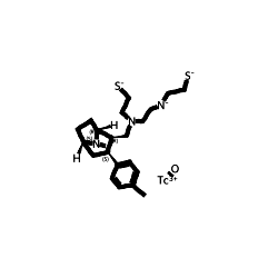 Cc1ccc([C@H]2C[C@@H]3CC[C@H]([C@H]2CN(CC[S-])CC[N-]CC[S-])N3C)cc1.[O]=[Tc+3]